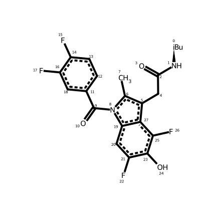 CC[C@H](C)NC(=O)Cc1c(C)n(C(=O)c2ccc(F)c(F)c2)c2cc(F)c(O)c(F)c12